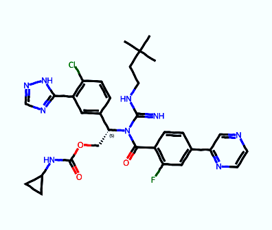 CC(C)(C)CCNC(=N)N(C(=O)c1ccc(-c2cnccn2)cc1F)[C@H](COC(=O)NC1CC1)c1ccc(Cl)c(-c2ncn[nH]2)c1